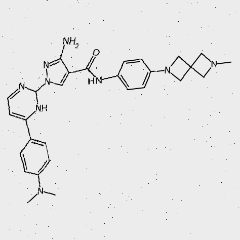 CN1CC2(C1)CN(c1ccc(NC(=O)c3cn(C4N=CC=C(c5ccc(N(C)C)cc5)N4)nc3N)cc1)C2